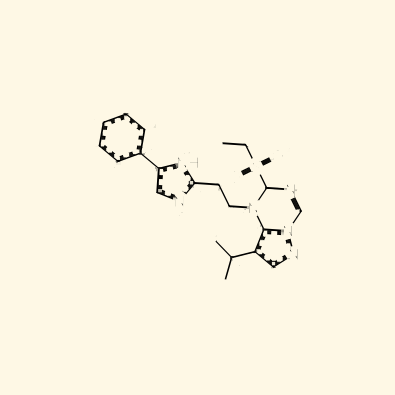 CCS(=O)(=O)C1N=Cn2ncc(C(C)C)c2N1CCc1ncc(-c2ccccc2)[nH]1